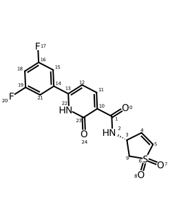 O=C(N[C@@H]1C=CS(=O)(=O)C1)c1ccc(-c2cc(F)cc(F)c2)[nH]c1=O